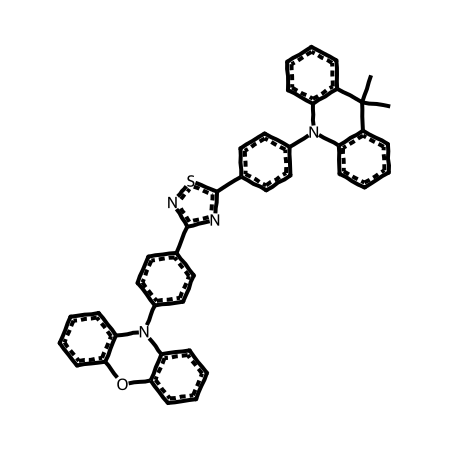 CC1(C)c2ccccc2N(c2ccc(-c3nc(-c4ccc(N5c6ccccc6Oc6ccccc65)cc4)ns3)cc2)c2ccccc21